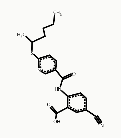 CCCCC(C)Sc1ccc(C(=O)Nc2ccc(C#N)cc2C(=O)O)cn1